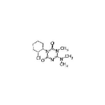 CN(C)c1nc(=O)n(C2CCCCC2Cl)c(=O)n1C